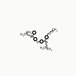 COCOCc1ccc(B(OCCN(C)C)c2ccc(Oc3ccc(B(OCCN(C)C)c4ccccc4)cc3)cc2)cc1